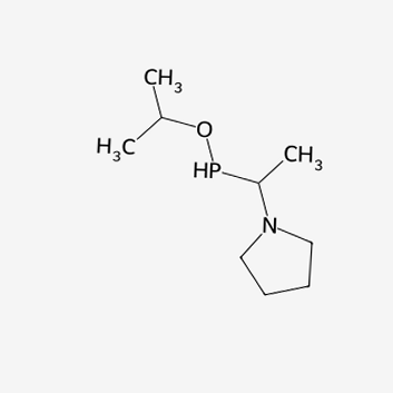 CC(C)OPC(C)N1CCCC1